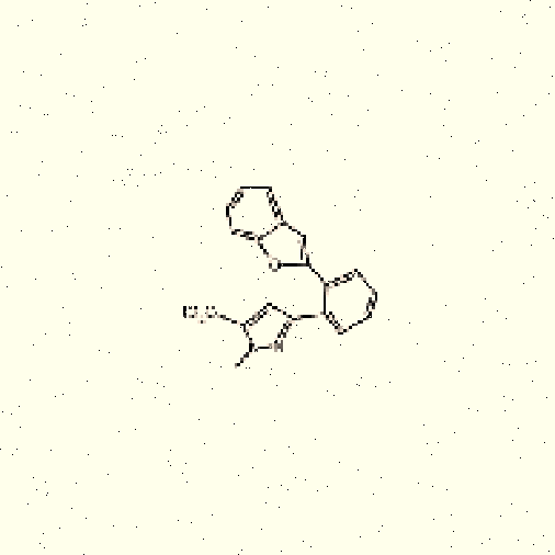 Cn1nc(-c2ccccc2-c2cc3ccccc3o2)cc1C(=O)O